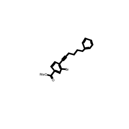 COC(=O)c1ccc(C#CCCCCc2ccccc2)c(Br)c1